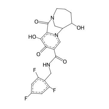 O=C(NCc1c(F)cc(F)cc1F)c1cn2c(c(O)c1=O)C(=O)N1CCCC(O)C2C1